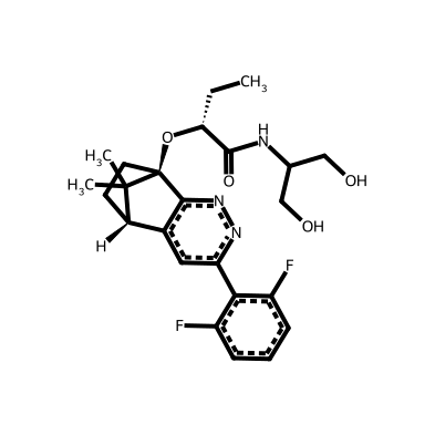 CC[C@@H](O[C@@]12CC[C@@H](c3cc(-c4c(F)cccc4F)nnc31)C2(C)C)C(=O)NC(CO)CO